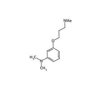 CNCCCOc1cccc(N(C)C)c1